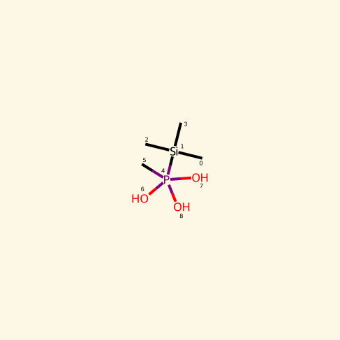 C[Si](C)(C)P(C)(O)(O)O